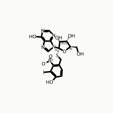 O=[N+]([O-])c1c(CS[C@@]2(n3cnc4c(O)ncnc43)O[C@H](CO)[C@@H](O)[C@H]2O)ccc(O)c1I